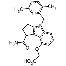 Cc1ccc(C)c(Cn2c3c(c4c(OCC(=O)O)cccc42)C(C(N)=O)CC3)c1